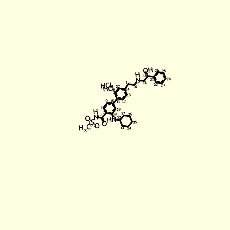 CS(=O)(=O)NC(=O)c1ccc(-c2ccc(CCNC[C@@H](O)c3ccccc3)cc2)cc1NC1CCCCC1.Cl.Cl